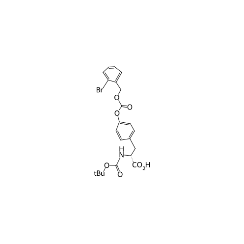 CC(C)(C)OC(=O)N[C@H](Cc1ccc(OC(=O)OCc2ccccc2Br)cc1)C(=O)O